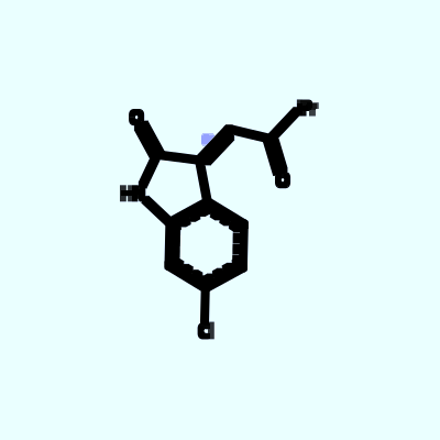 CC(C)C(=O)/C=C1/C(=O)Nc2cc(Cl)ccc21